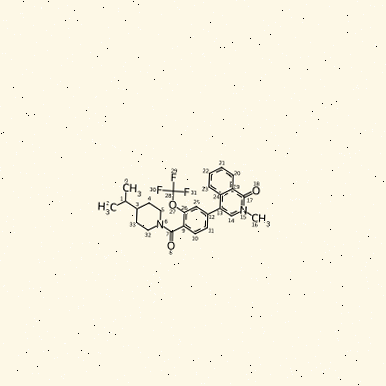 CC(C)C1CCN(C(=O)c2ccc(-c3cn(C)c(=O)c4ccccc34)cc2OC(F)(F)F)CC1